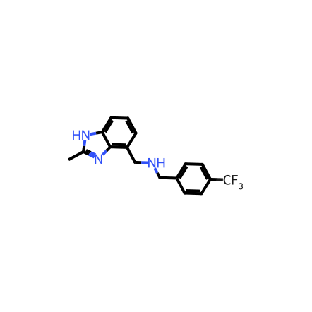 Cc1nc2c(CNCc3ccc(C(F)(F)F)cc3)cccc2[nH]1